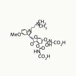 COc1ccc2c(c1)c(/C=C1\Oc3cc(OC(=O)NCC(=O)O)cc(OC(=O)NCC(=O)O)c3C1=O)cn2CCCN(C)C